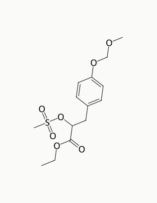 CCOC(=O)C(Cc1ccc(OCOC)cc1)OS(C)(=O)=O